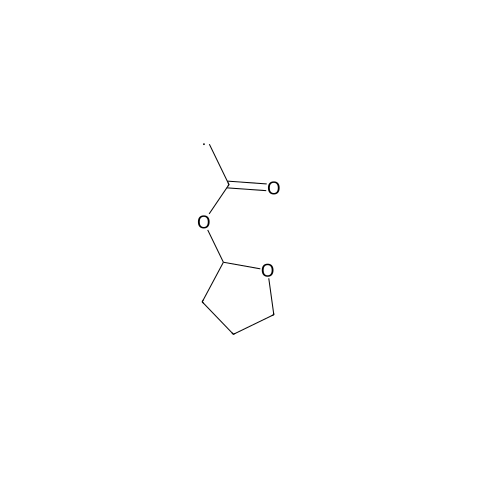 [CH2]C(=O)OC1CCCO1